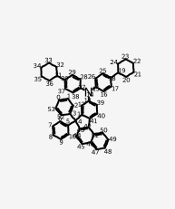 c1ccc(C2(c3ccccc3)c3cc(N(c4ccc(C5CCCCC5)cc4)c4ccc(C5CCCCC5)cc4)ccc3-c3c2ccc2ccccc32)cc1